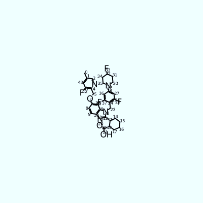 Cc1cnc(COc2ccc3nc([C@H]4CCCC[C@H]4C(=O)O)n(Cc4c(F)cc(N5CCC(F)CC5)cc4F)c3c2)c(F)c1